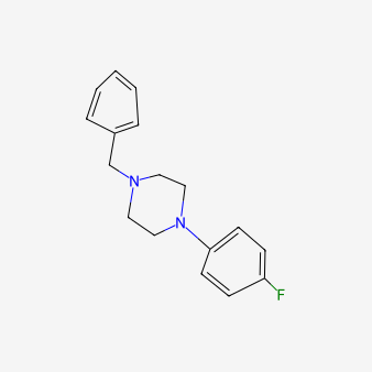 Fc1ccc(N2CCN(Cc3ccccc3)CC2)cc1